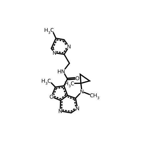 Cc1cnc(CNC(=O)c2c(C)oc3ncnc(N(C)C4(C)CC4)c23)nc1